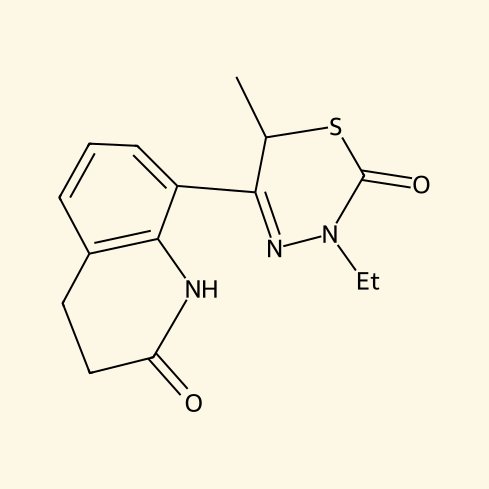 CCN1N=C(c2cccc3c2NC(=O)CC3)C(C)SC1=O